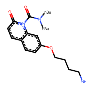 CCCCN(CCCC)C(=O)n1c(=O)ccc2ccc(OCCCCN)cc21